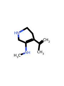 C=C(C)C1=C(NC)CNCC1